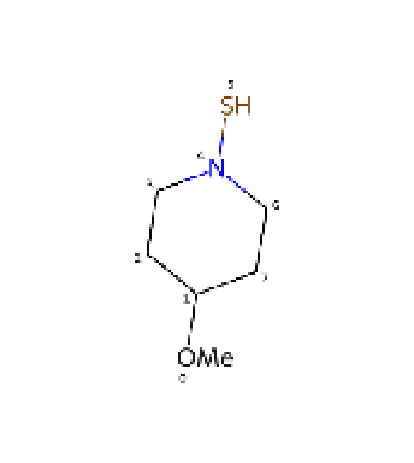 COC1CCN(S)CC1